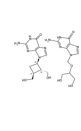 Nc1nc2c(ncn2COC(CO)CO)c(=O)[nH]1.Nc1nc2c(ncn2[C@@H]2C[C@H](CO)[C@H]2CO)c(=O)[nH]1